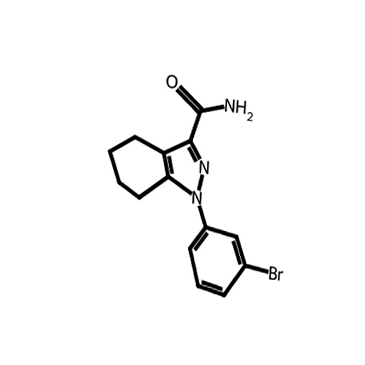 NC(=O)c1nn(-c2cccc(Br)c2)c2c1CCCC2